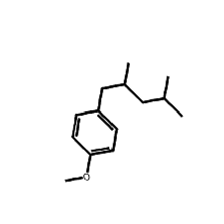 COc1ccc(C[C](C)CC(C)C)cc1